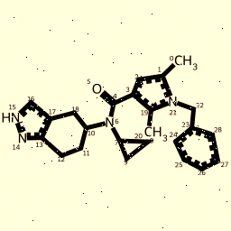 Cc1cc(C(=O)N(C2CC2)C2CCc3n[nH]cc3C2)c(C)n1Cc1ccccc1